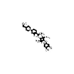 CC1(C)[C@H](NC(=O)c2ccc(N3CCC(CO)CC3)nc2F)C(C)(C)[C@H]1Oc1ccc(C#N)c(Cl)c1